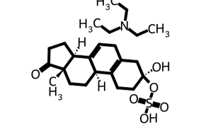 CCN(CC)CC.C[C@]12CC[C@H]3C(=CCC4=C3CC[C@](O)(OS(=O)(=O)O)C4)[C@@H]1CCC2=O